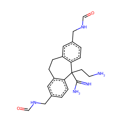 N=C(N)C1(CCN)c2ccc(CNC=O)cc2CCc2cc(CNC=O)ccc21